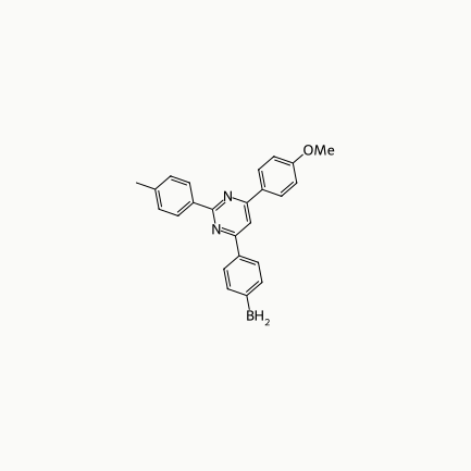 Bc1ccc(-c2cc(-c3ccc(OC)cc3)nc(-c3ccc(C)cc3)n2)cc1